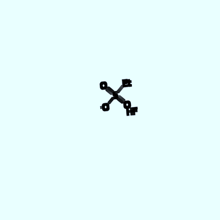 CCS([O])(=O)=O.F